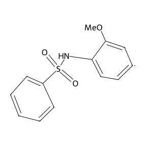 COc1c[c]ccc1NS(=O)(=O)c1ccccc1